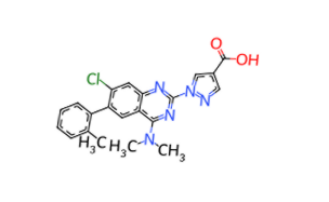 Cc1ccccc1-c1cc2c(N(C)C)nc(-n3cc(C(=O)O)cn3)nc2cc1Cl